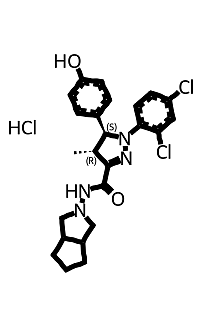 C[C@H]1C(C(=O)NN2CC3CCCC3C2)=NN(c2ccc(Cl)cc2Cl)[C@@H]1c1ccc(O)cc1.Cl